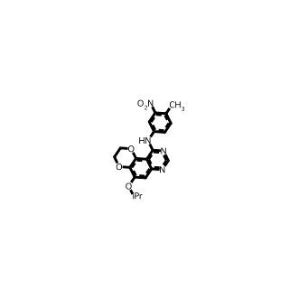 Cc1ccc(Nc2ncnc3cc(OC(C)C)c4c(c23)OCCO4)cc1[N+](=O)[O-]